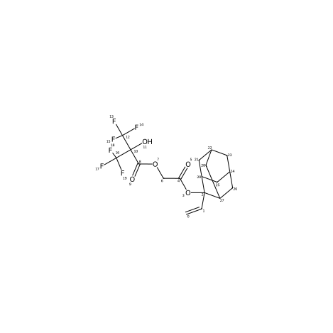 C=CC1(OC(=O)COC(=O)C(O)(C(F)(F)F)C(F)(F)F)C2CC3CC(C2)CC1C3